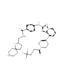 O=C(NCC1CCC2(CCNCC2)O1)c1ccc(Nc2nc3c(C4=CCN(C(=O)CCC(F)(F)F)CC4)cccn3n2)cc1